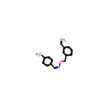 C=Cc1cccc(CO/N=[C]\c2ccc(C)cc2)c1